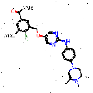 CNC(=O)c1cc(COc2cnc(Nc3ccc(N4C=C(C)N(C)[C@@H](C)C4)cc3)nc2)c(Cl)c(OC)c1